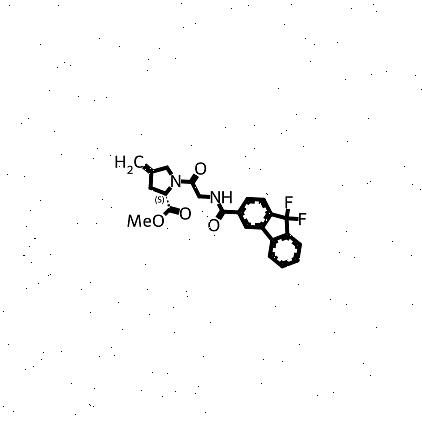 C=C1C[C@@H](C(=O)OC)N(C(=O)CNC(=O)c2ccc3c(c2)-c2ccccc2C3(F)F)C1